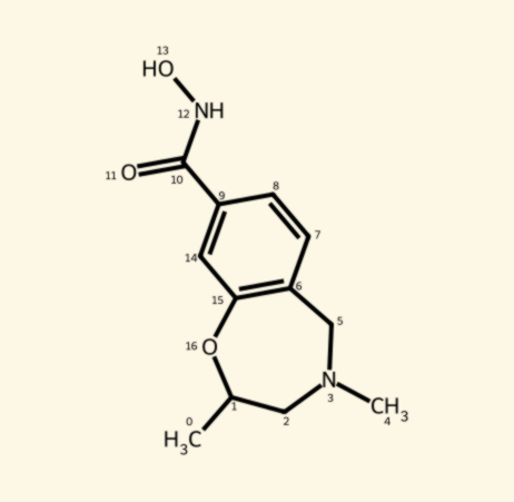 CC1CN(C)Cc2ccc(C(=O)NO)cc2O1